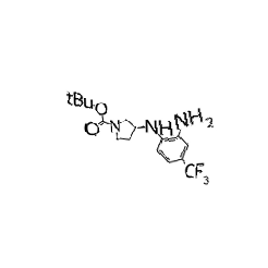 CC(C)(C)OC(=O)N1CC[C@H](Nc2ccc(C(F)(F)F)cc2N)C1